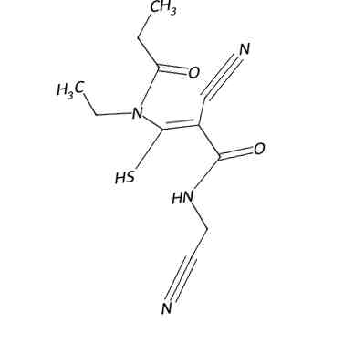 CCC(=O)N(CC)/C(S)=C(\C#N)C(=O)NCC#N